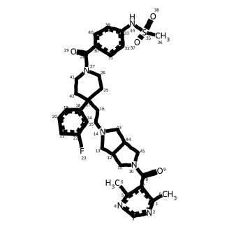 Cc1ncnc(C)c1C(=O)N1CC2CN(CCC3(c4cccc(F)c4)CCN(C(=O)c4ccc(NS(C)(=O)=O)cc4)CC3)CC2C1